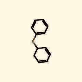 [C]1=CC[C](Sc2ccccc2)C=C1